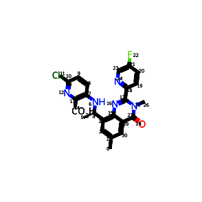 Cc1cc([C@@H](C)Nc2ccc(Cl)nc2C(=O)O)c2nc(-c3ccc(F)cn3)n(C)c(=O)c2c1